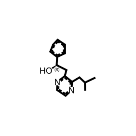 CC(C)Cc1nccnc1C[C@@H](O)c1ccccc1